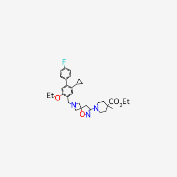 CCOC(=O)C1(C)CCN(C2=NOC3(C2)CN(Cc2cc(C4CC4)c(-c4ccc(F)cc4)cc2OCC)C3)CC1